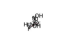 CCc1cccc(CN(C[C@@H](O)[C@@H](N)Cc2cc(F)cc(F)c2)C(=O)c2cc(C)cc(C(=O)N3CCCCC3CCO)c2)c1